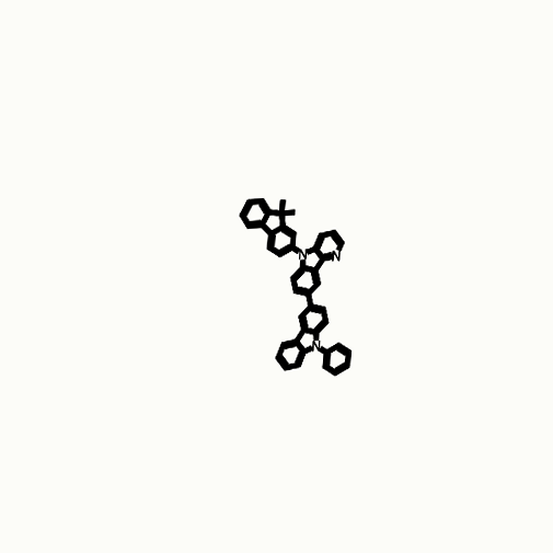 CC1(C)c2ccccc2-c2ccc(-n3c4ccc(-c5ccc6c(c5)c5ccccc5n6-c5ccccc5)cc4c4ncccc43)cc21